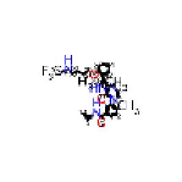 Cc1ccc(C(=O)NC2CC2)cc1-n1ccnc(NC(C)(C)c2ccccc2OCCCCNCC(F)(F)F)c1=O